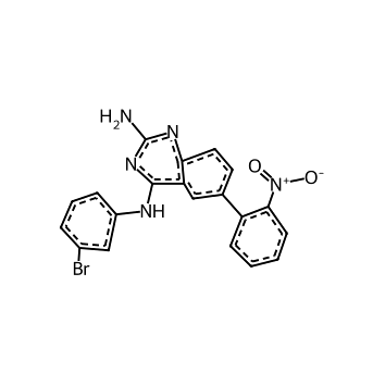 Nc1nc(Nc2cccc(Br)c2)c2cc(-c3ccccc3[N+](=O)[O-])ccc2n1